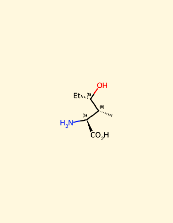 CC[C@H](O)[C@H](C)[C@H](N)C(=O)O